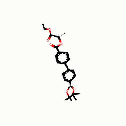 CCOC(=O)[C@H](C)OC(=O)c1ccc(-c2ccc(B3OC(C)(C)C(C)(C)O3)cc2)cc1